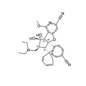 CCN(CC)C[C@H]1[C@@H](O)[C@@]2(O)c3c(cc(C#N)nc3OC)O[C@@]2(c2ccc(C#N)cc2)[C@@H]1C1(C)C=CC=CC1